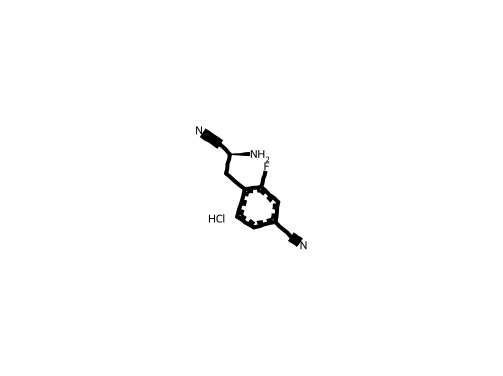 Cl.N#Cc1ccc(C[C@H](N)C#N)c(F)c1